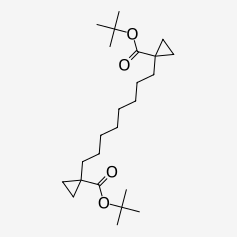 CC(C)(C)OC(=O)C1(CCCCCCCCC2(C(=O)OC(C)(C)C)CC2)CC1